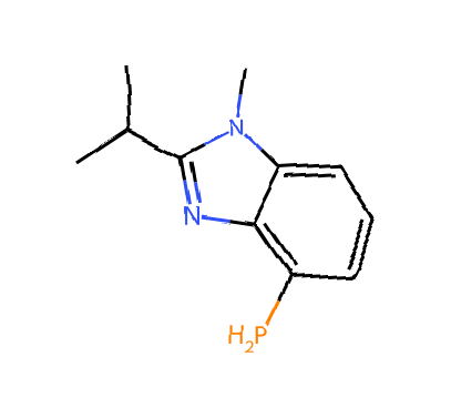 CC(C)c1nc2c(P)cccc2n1C